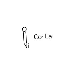 [Co].[La].[O]=[Ni]